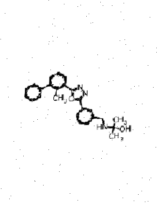 Cc1c(-c2ccccc2)cccc1-c1nnc(-c2cccc(CNC(C)(C)O)c2)o1